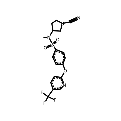 CN(C1CCN(C#N)C1)S(=O)(=O)c1ccc(Oc2ccc(C(F)(F)F)cn2)cc1